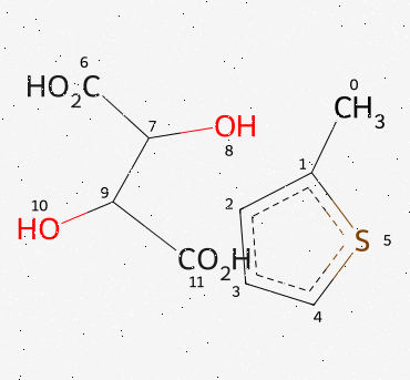 Cc1cccs1.O=C(O)C(O)C(O)C(=O)O